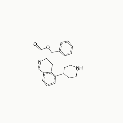 C1=NCCc2c1cccc2C1CCNCC1.O=COCc1ccccc1